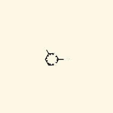 CSc1nccc(C(F)(F)F)n1